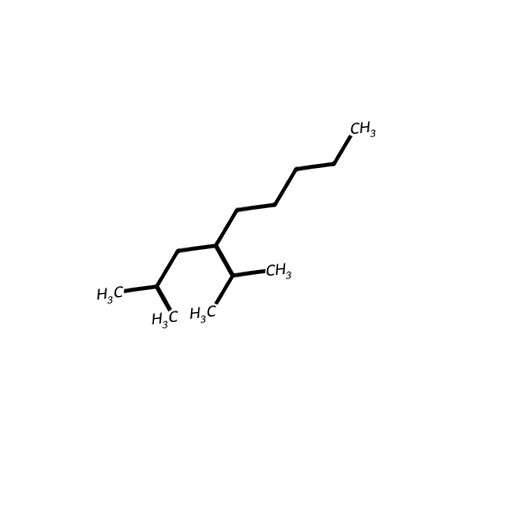 CCCCC[C](CC(C)C)C(C)C